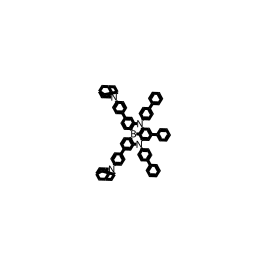 c1ccc(-c2ccc(N3c4cc(-c5ccc(N6C7CC8CC(C7)CC6C8)cc5)ccc4B4c5ccc(-c6ccc(N7C8CC9CC(C8)CC7C9)cc6)cc5N(c5ccc(-c6ccccc6)cc5)c5cc(-c6ccccc6)cc3c54)cc2)cc1